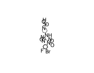 O=c1onc(-c2nonc2NC2CCN(C[SH](=O)=O)CC2)n1-c1ccc(F)c(Br)c1